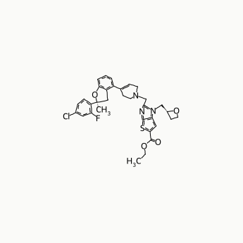 CCOC(=O)c1cc2c(nc(CN3CC=C(c4cccc5c4C[C@@](C)(c4ccc(Cl)cc4F)O5)CC3)n2C[C@@H]2CCO2)s1